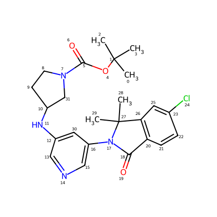 CC(C)(C)OC(=O)N1CCC(Nc2cncc(N3C(=O)c4ccc(Cl)cc4C3(C)C)c2)C1